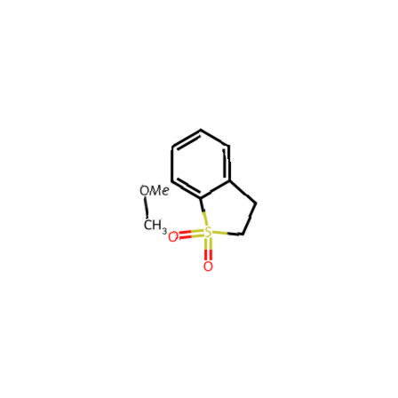 COC.O=S1(=O)CCc2ccccc21